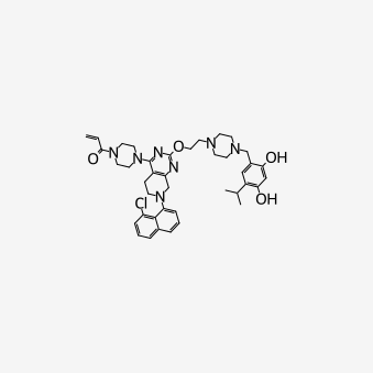 C=CC(=O)N1CCN(c2nc(OCCN3CCN(Cc4cc(C(C)C)c(O)cc4O)CC3)nc3c2CCN(c2cccc4cccc(Cl)c24)C3)CC1